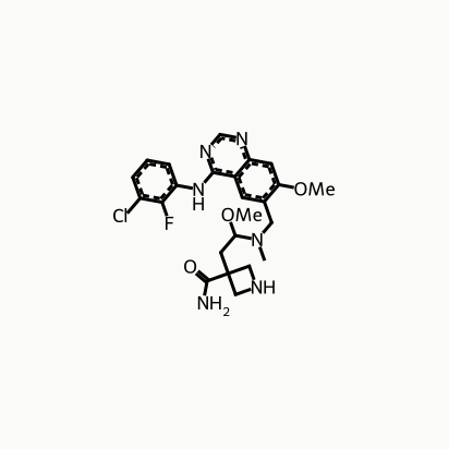 COc1cc2ncnc(Nc3cccc(Cl)c3F)c2cc1CN(C)C(CC1(C(N)=O)CNC1)OC